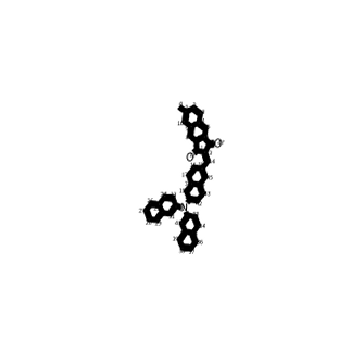 Cc1ccc2cc3c(cc2c1)C(=O)C(=Cc1ccc2cc(N(c4ccc5ccccc5c4)c4ccc5ccccc5c4)ccc2c1)C3=O